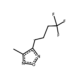 Cc1nonc1[CH]CCC(F)(F)F